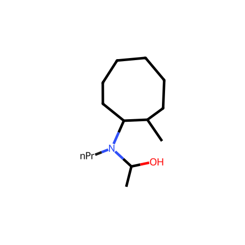 CCCN(C(C)O)C1CCCCCCC1C